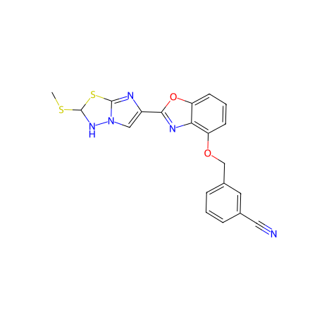 CSC1Nn2cc(-c3nc4c(OCc5cccc(C#N)c5)cccc4o3)nc2S1